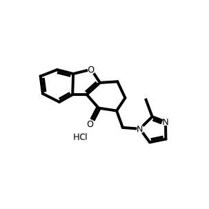 Cc1nccn1CC1CCc2oc3ccccc3c2C1=O.Cl